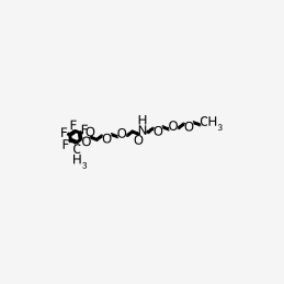 CCCOCCOCCOCCNC(=O)CCOCCOCCC(=O)Oc1c(C)c(F)c(F)c(F)c1F